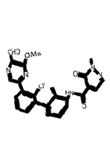 COc1nc(-c2cccc(-c3cccc(NC(=O)c4ccnn(C)c4=O)c3C)c2Cl)cnc1C=O